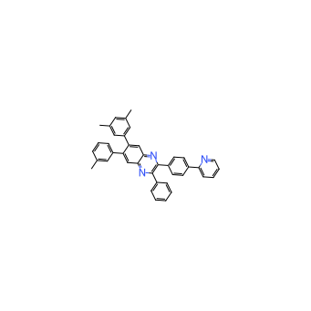 Cc1cccc(-c2cc3nc(-c4ccccc4)c(-c4ccc(-c5ccccn5)cc4)nc3cc2-c2cc(C)cc(C)c2)c1